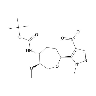 CO[C@@H]1CO[C@H](c2c([N+](=O)[O-])cnn2C)CC[C@H]1NC(=O)OC(C)(C)C